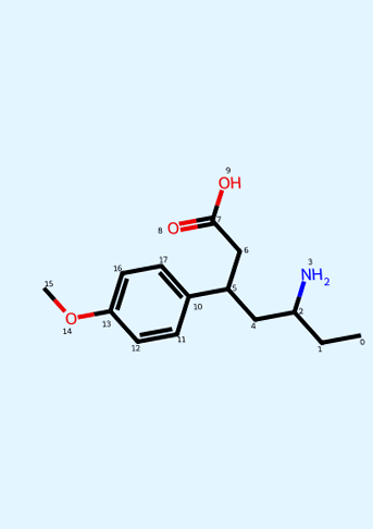 CCC(N)CC(CC(=O)O)c1ccc(OC)cc1